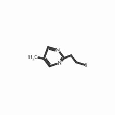 Cc1cnc(CCI)nc1